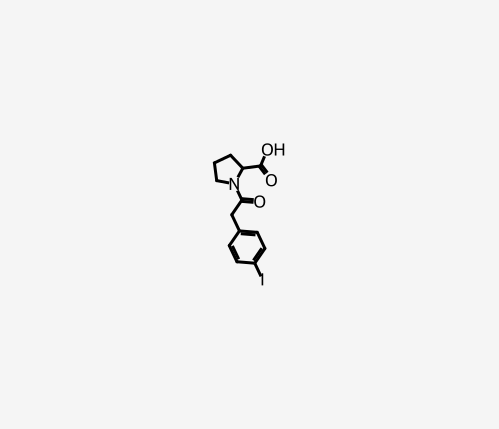 O=C(O)C1CCCN1C(=O)Cc1ccc(I)cc1